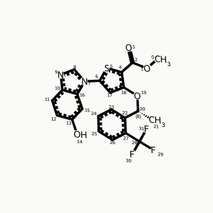 COC(=O)c1sc(-n2cnc3ccc(O)cc32)cc1O[C@H](C)c1ccccc1C(F)(F)F